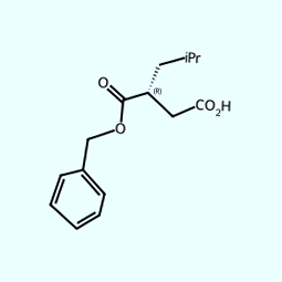 CC(C)C[C@H](CC(=O)O)C(=O)OCc1ccccc1